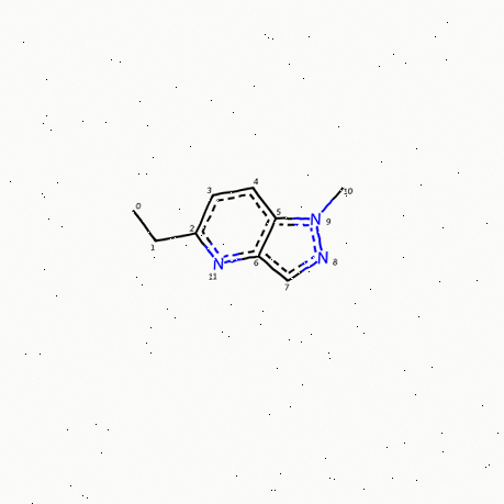 CCc1ccc2c(cnn2C)n1